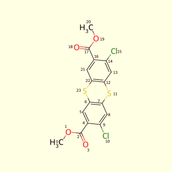 COC(=O)c1cc2c(cc1Cl)Sc1cc(Cl)c(C(=O)OC)cc1S2